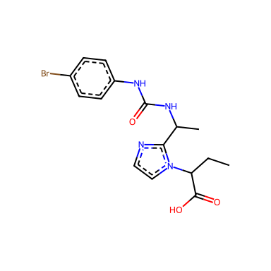 CCC(C(=O)O)n1ccnc1C(C)NC(=O)Nc1ccc(Br)cc1